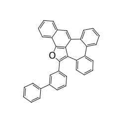 c1ccc(-c2cccc(-c3oc4c5c(cc6ccccc64)-c4ccccc4-c4ccccc4-c35)c2)cc1